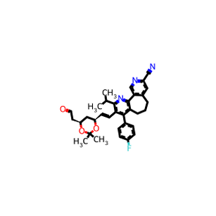 CC(C)c1nc2c(c(-c3ccc(F)cc3)c1/C=C/[C@@H]1C[C@H](CC=O)OC(C)(C)O1)CCCc1cc(C#N)ncc1-2